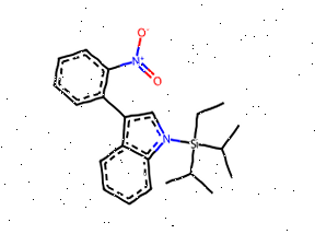 CC[Si](C(C)C)(C(C)C)n1cc(-c2ccccc2[N+](=O)[O-])c2ccccc21